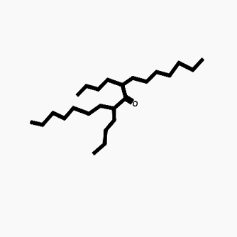 CCCCCCCC(CCCC)C(=O)C(CCCC)CCCCCCC